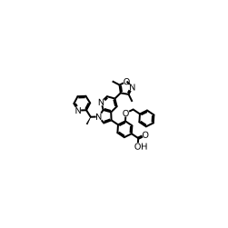 Cc1noc(C)c1-c1cnc2c(c1)c(-c1ccc(C(=O)O)cc1OCc1ccccc1)cn2[C@@H](C)c1ccccn1